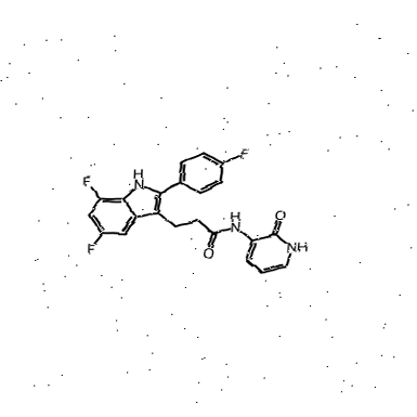 O=C(CCc1c(-c2ccc(F)cc2)[nH]c2c(F)cc(F)cc12)Nc1ccc[nH]c1=O